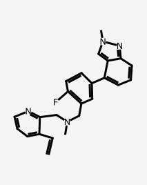 C=Cc1cccnc1CN(C)Cc1cc(-c2cccc3nn(C)cc23)ccc1F